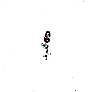 COC(=O)NCC[C@H]1CN(c2ccc(N3C4CCC3C[S+]([O-])C4)c(F)c2)C(=O)O1